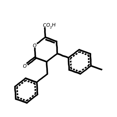 Cc1ccc(C2C=C(C(=O)O)OC(=O)C2Cc2ccccc2)cc1